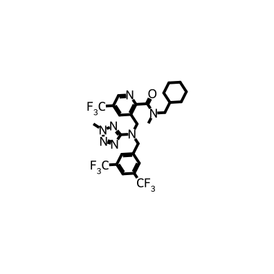 CN(CC1CCCCC1)C(=O)c1ncc(C(F)(F)F)cc1CN(Cc1cc(C(F)(F)F)cc(C(F)(F)F)c1)c1nnn(C)n1